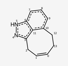 C1=C\Cc2n[nH]c3cccc(c23)CC/1